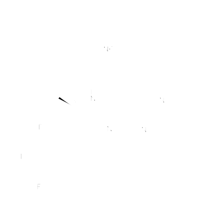 C[C@@H](Nc1ncnc2c1C=C(c1ccccc1C#N)CN2C)c1cccc(C(F)F)c1F